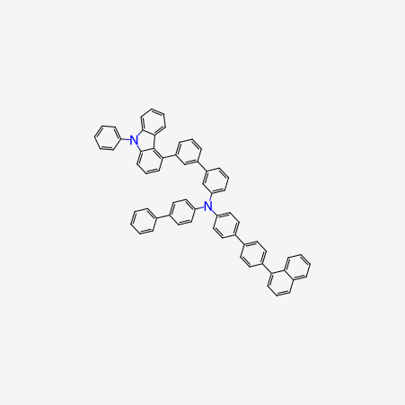 c1ccc(-c2ccc(N(c3ccc(-c4ccc(-c5cccc6ccccc56)cc4)cc3)c3cccc(-c4cccc(-c5cccc6c5c5ccccc5n6-c5ccccc5)c4)c3)cc2)cc1